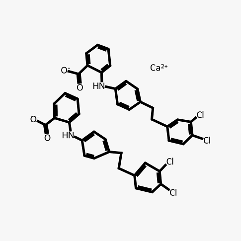 O=C([O-])c1ccccc1Nc1ccc(CCc2ccc(Cl)c(Cl)c2)cc1.O=C([O-])c1ccccc1Nc1ccc(CCc2ccc(Cl)c(Cl)c2)cc1.[Ca+2]